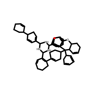 C1=CCCC(C2NC(C3=CCC(C4C=CCCC4)C=C3)NC(C3=C(C4=CCC(C5(C6C=CC=CC6)c6ccccc6OC6CCC=CC65)CC4)CCCC=C3)N2)=C1